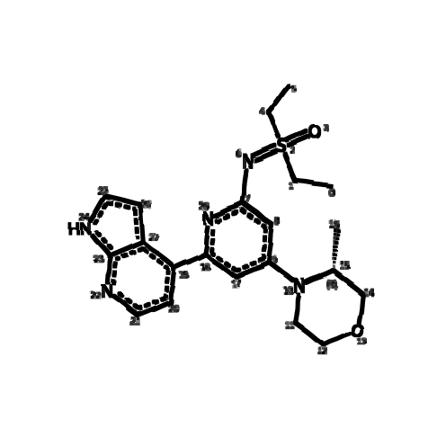 CCS(=O)(CC)=Nc1cc(N2CCOC[C@H]2C)cc(-c2ccnc3[nH]ccc23)n1